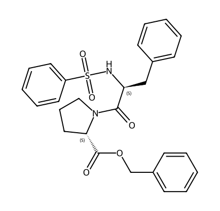 O=C(OCc1ccccc1)[C@@H]1CCCN1C(=O)[C@H](Cc1ccccc1)NS(=O)(=O)c1ccccc1